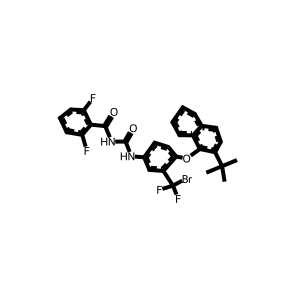 CC(C)(C)c1ccc2ccccc2c1Oc1ccc(NC(=O)NC(=O)c2c(F)cccc2F)cc1C(F)(F)Br